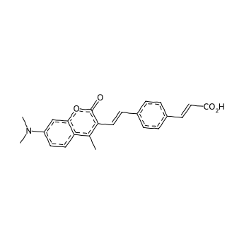 Cc1c(/C=C/c2ccc(/C=C/C(=O)O)cc2)c(=O)oc2cc(N(C)C)ccc12